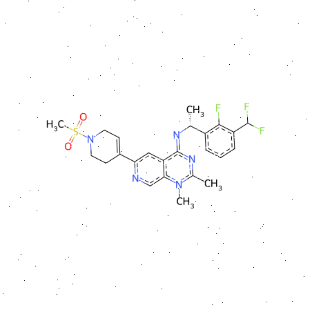 Cc1n/c(=N\[C@H](C)c2cccc(C(F)F)c2F)c2cc(C3=CCN(S(C)(=O)=O)CC3)ncc2n1C